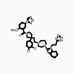 COc1ccc(-n2cnnn2)cc1C(=O)N1CCC(CCN2CCCN(c3nc4ccccc4n3CCc3nnn[nH]3)CC2)(c2ccc(Cl)c(Cl)c2)C1